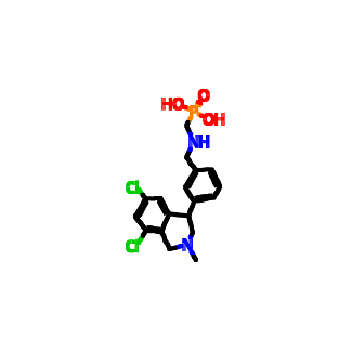 CN1Cc2c(Cl)cc(Cl)cc2C(c2cccc(CNCP(=O)(O)O)c2)C1